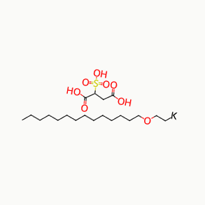 CCCCCCCCCCCCCCOC[CH2][K].O=C(O)CC(C(=O)O)S(=O)(=O)O